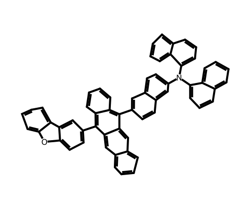 c1ccc2cc3c(-c4ccc5oc6ccccc6c5c4)c4ccccc4c(-c4ccc5cc(N(c6cccc7ccccc67)c6cccc7ccccc67)ccc5c4)c3cc2c1